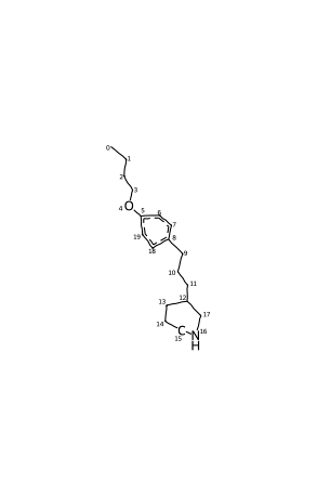 CCCCOc1ccc(CCCC2CCCNC2)cc1